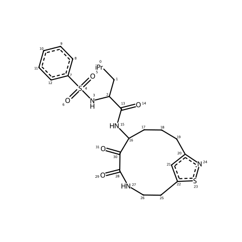 CC(C)CC(NS(=O)(=O)c1ccccc1)C(=O)NC1CCCc2cc(sn2)CCNC(=O)C1=O